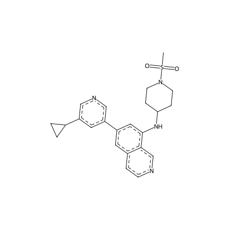 CS(=O)(=O)N1CCC(Nc2cc(-c3cncc(C4CC4)c3)cc3ccncc23)CC1